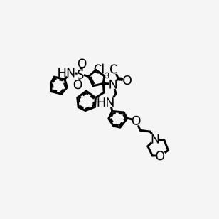 O=C(N(CNc1cccc(OCCN2CCOCC2)c1)C1(Cc2ccccc2)C=C(S(=O)(=O)Nc2ccccc2)CC1)C(Cl)(Cl)Cl